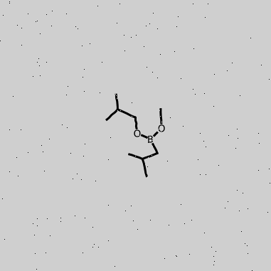 COB(CC(C)C)OCC(C)C